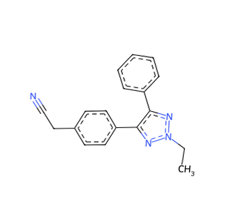 CCn1nc(-c2ccccc2)c(-c2ccc(CC#N)cc2)n1